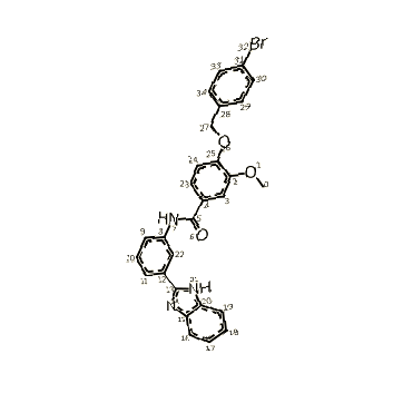 COc1cc(C(=O)Nc2cccc(-c3nc4ccccc4[nH]3)c2)ccc1OCc1ccc(Br)cc1